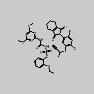 C#CC(C)Oc1cc(N2C(=O)C3=C(CCCC3)C2=O)c(F)cc1Cl.CCOc1ccccc1OS(=O)(=O)NC(=O)Nc1nc(OC)cc(OC)n1